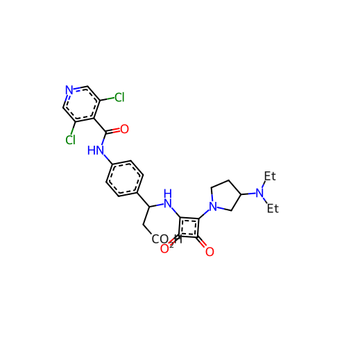 CCN(CC)C1CCN(c2c(NC(CC(=O)O)c3ccc(NC(=O)c4c(Cl)cncc4Cl)cc3)c(=O)c2=O)C1